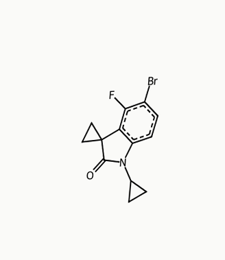 O=C1N(C2CC2)c2ccc(Br)c(F)c2C12CC2